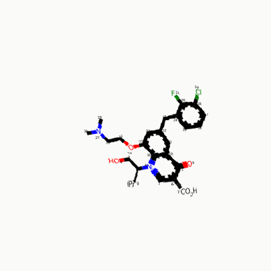 CC(C)[C@@H](CO)n1cc(C(=O)O)c(=O)c2cc(Cc3cccc(Cl)c3F)cc(OCCN(C)C)c21